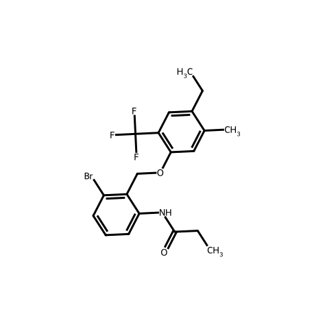 CCC(=O)Nc1cccc(Br)c1COc1cc(C)c(CC)cc1C(F)(F)F